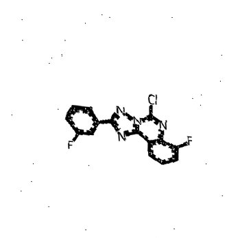 Fc1cccc(-c2nc3c4cccc(F)c4nc(Cl)n3n2)c1